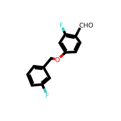 O=Cc1ccc(OCc2cccc(F)c2)cc1F